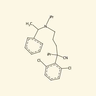 CC(C)N(CCCC(C#N)(c1c(Cl)cccc1Cl)C(C)C)C(C)c1ccccc1